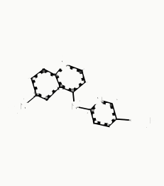 O=C(O)c1ccc(Nc2ccnc3ccc([N+](=O)[O-])cc23)nc1